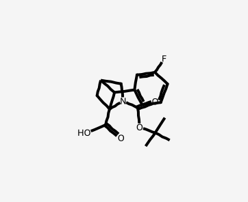 CC(C)(C)OC(=O)N1CC2CC1(C(=O)O)C2c1cccc(F)c1